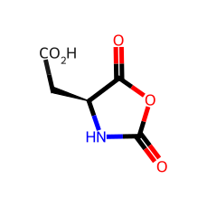 O=C(O)C[C@@H]1NC(=O)OC1=O